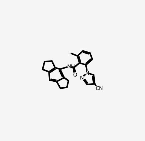 [CH2]c1cccc(-n2cc(C#N)cn2)c1C(=O)Nc1c2c(cc3c1CCC3)CCC2